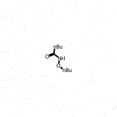 CCCCONC(=O)CCCC